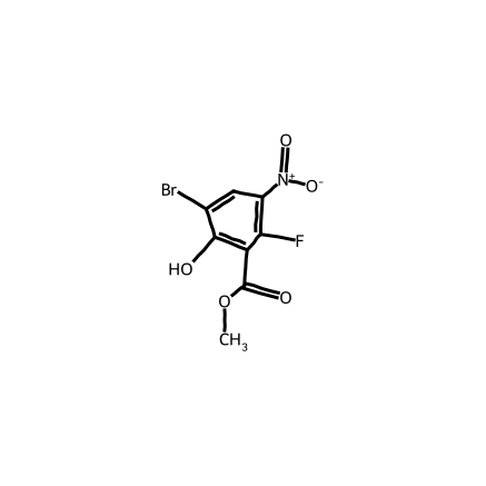 COC(=O)c1c(O)c(Br)cc([N+](=O)[O-])c1F